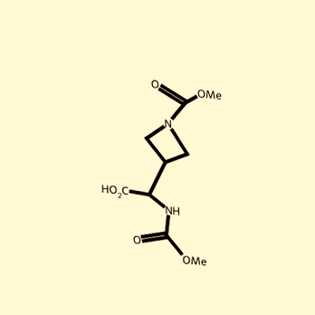 COC(=O)NC(C(=O)O)C1CN(C(=O)OC)C1